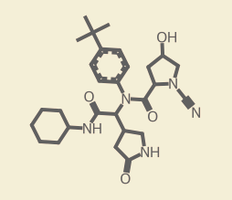 CC(C)(C)c1ccc(N(C(=O)C2CC(O)CN2C#N)C(C(=O)NC2CCCCC2)C2CNC(=O)C2)cc1